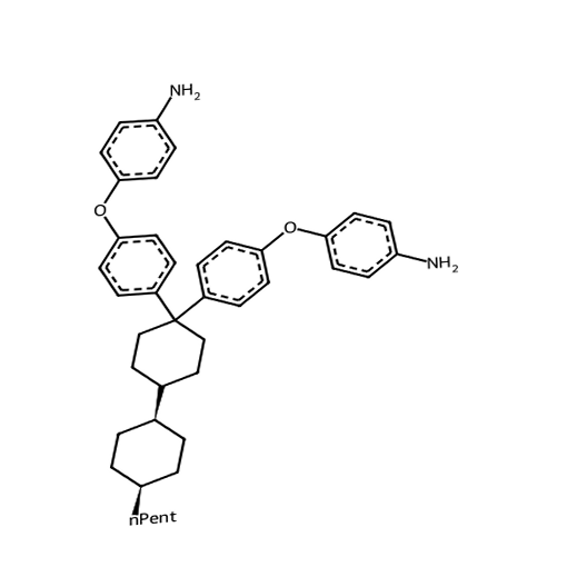 CCCCC[C@H]1CC[C@@H](C2CCC(c3ccc(Oc4ccc(N)cc4)cc3)(c3ccc(Oc4ccc(N)cc4)cc3)CC2)CC1